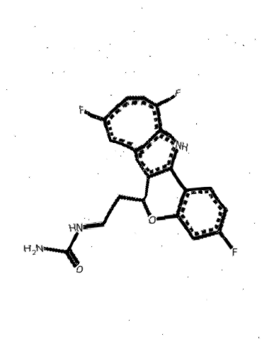 NC(=O)NCCC1Oc2cc(F)ccc2-c2[nH]c3c(F)cc(F)cc3c21